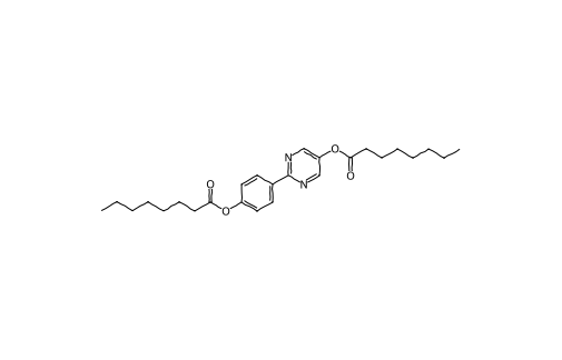 CCCCCCCC(=O)Oc1ccc(-c2ncc(OC(=O)CCCCCCC)cn2)cc1